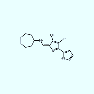 CCC1=C(C)C(=CNC2CCCCCC2)N=C1c1ccc[nH]1